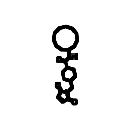 O=C(NC1CCCCCCCCCC1)C1CCC(CN2C(=O)C=CC2=O)CC1